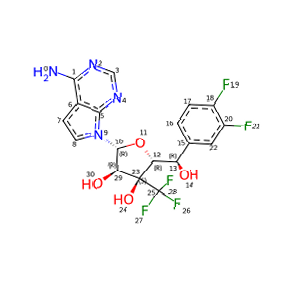 Nc1ncnc2c1ccn2[C@@H]1O[C@H]([C@H](O)c2ccc(F)c(F)c2)[C@](O)(C(F)(F)F)[C@H]1O